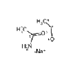 CC(N)=O.CC[O-].[Na+]